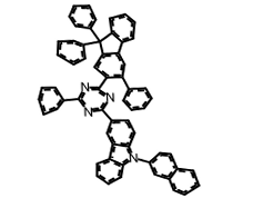 c1ccc(-c2nc(-c3ccc4c(c3)c3ccccc3n4-c3ccc4ccccc4c3)nc(-c3cc4c(cc3-c3ccccc3)-c3ccccc3C4(c3ccccc3)c3ccccc3)n2)cc1